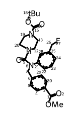 COC(=O)c1ccc(CN(C(=O)N2CCN(C(=O)OC(C)(C)C)CC2)c2cccc(CF)c2)cc1